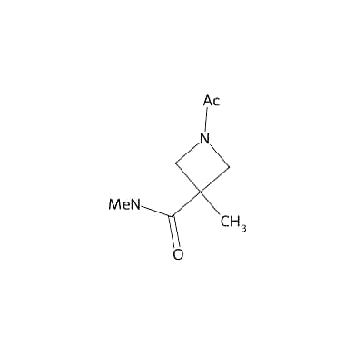 CNC(=O)C1(C)CN(C(C)=O)C1